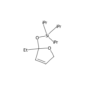 CCC1(O[Si](C(C)C)(C(C)C)C(C)C)C=CCO1